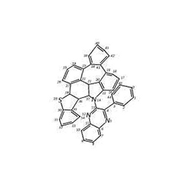 c1ccc(-c2nc3ccccc3nc2N2c3cccc4c3C3c5c(cccc5C5Sc6ccccc6C5C32)-c2ccccc2-4)cc1